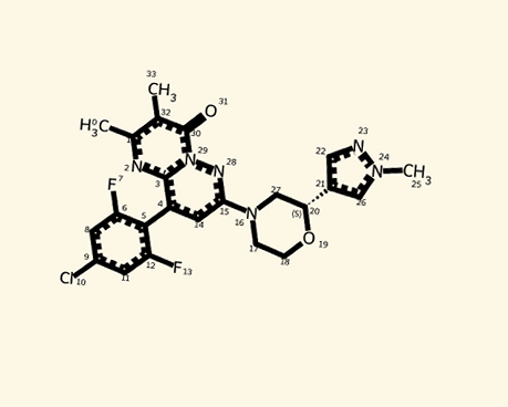 Cc1nc2c(-c3c(F)cc(Cl)cc3F)cc(N3CCO[C@@H](c4cnn(C)c4)C3)nn2c(=O)c1C